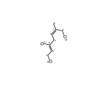 CC(=CCC(Cl)=CCCl)CCl